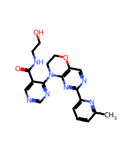 Cc1cccc(-c2ncc3c(n2)N(c2ncncc2C(=O)NCCO)CCO3)n1